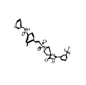 Cc1cc([S+]([O-])Nc2cccnc2)ccc1/C=C/S(=O)(=O)N1CCC2(CC1)N=C(c1cccc(C(F)(F)F)c1)NC2=O